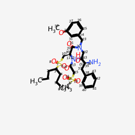 CCCC(CCC)S(=O)(=O)C[C@H](NC(=O)CS(C)(=O)=O)C(=O)N(Cc1cccc(OC)c1)C[C@@H](O)[C@@H](N)Cc1ccccc1